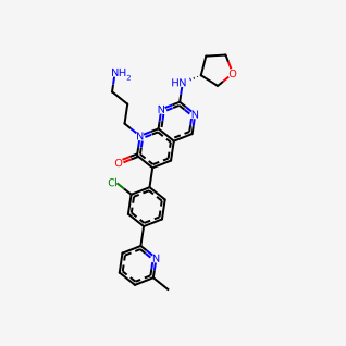 Cc1cccc(-c2ccc(-c3cc4cnc(N[C@@H]5CCOC5)nc4n(CCCN)c3=O)c(Cl)c2)n1